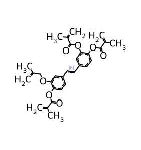 C=C(C)COc1cc(/C=C/c2ccc(OC(=O)C(=C)C)c(OC(=O)C(=C)C)c2)ccc1OC(=O)C(=C)C